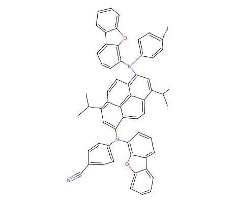 CC(C)c1cc(N(c2ccc(I)cc2)c2cccc3c2oc2ccccc23)c2ccc3c(C(C)C)cc(N(c4ccc(C#N)cc4)c4cccc5c4oc4ccccc45)c4ccc1c2c34